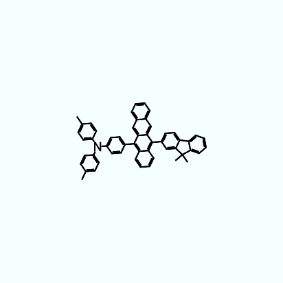 Cc1ccc(N(c2ccc(C)cc2)c2ccc(-c3c4ccccc4c(-c4ccc5c(c4)C(C)(C)c4ccccc4-5)c4cc5ccccc5cc34)cc2)cc1